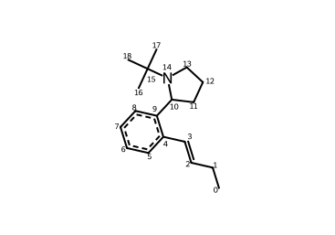 CC/C=C/c1ccccc1C1CCCN1C(C)(C)C